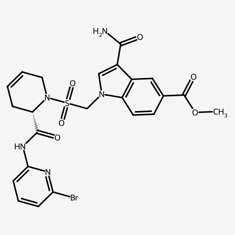 COC(=O)c1ccc2c(c1)c(C(N)=O)cn2CS(=O)(=O)N1CC=CC[C@H]1C(=O)Nc1cccc(Br)n1